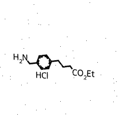 CCOC(=O)CCCc1ccc(CN)cc1.Cl